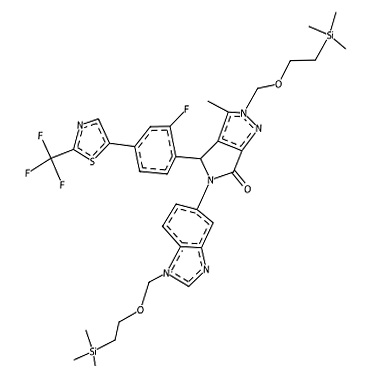 Cc1c2c(nn1COCC[Si](C)(C)C)C(=O)N(c1ccc3c(c1)ncn3COCC[Si](C)(C)C)C2c1ccc(-c2cnc(C(F)(F)F)s2)cc1F